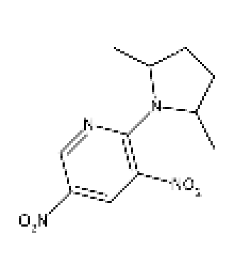 CC1CCC(C)N1c1ncc([N+](=O)[O-])cc1[N+](=O)[O-]